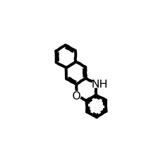 C1=CC2C=C3Nc4ccccc4OC3=CC2C=C1